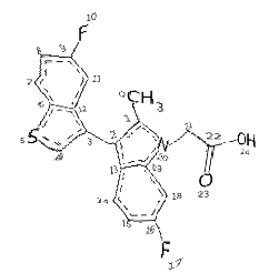 Cc1c(-c2csc3ccc(F)cc23)c2ccc(F)cc2n1CC(=O)O